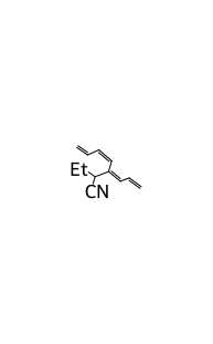 C=C/C=C\C(=C/C=C)C(C#N)CC